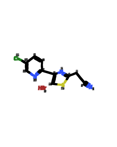 Br.N#CCc1nc(-c2ccc(Cl)cn2)cs1